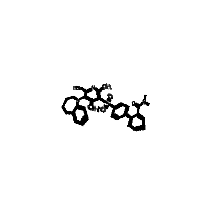 CCCCc1nc(O)c(S(=O)(=O)c2ccc(-c3ccccc3C(=O)N(C)C)cc2)c(O)c1N1CCCCc2ccccc21